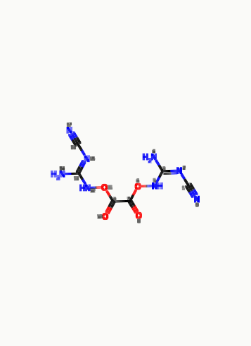 N#CN=C(N)NOC(=O)C(=O)ONC(N)=NC#N